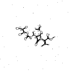 COC(=O)C(=C(C)C)N1C(=O)[C@@H](C(C)OC(=O)OC(Cl)C(Cl)Cl)C1OC(C)=O